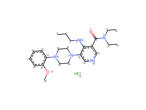 CCCNc1c(C(=O)N(CC)CC)cncc1N1CCN(c2ccccc2OC)CC1.Cl